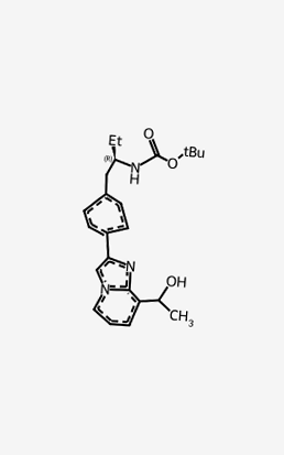 CC[C@H](Cc1ccc(-c2cn3cccc(C(C)O)c3n2)cc1)NC(=O)OC(C)(C)C